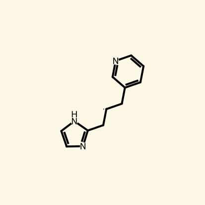 [CH](Cc1cccnc1)Cc1ncc[nH]1